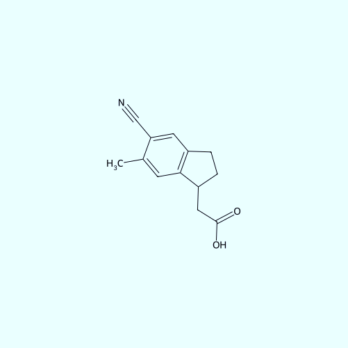 Cc1cc2c(cc1C#N)CCC2CC(=O)O